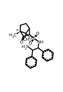 CC1(C)C2CC[C@@]1(C)C(=O)C2S(=O)(=O)NC(c1ccccc1)C(N)c1ccccc1